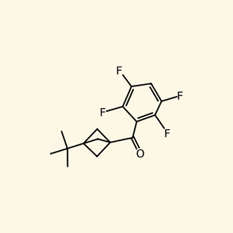 CC(C)(C)C12CC(C(=O)c3c(F)c(F)cc(F)c3F)(C1)C2